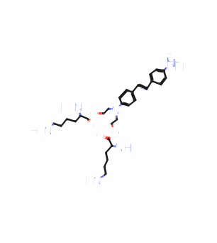 CCN(CC)c1ccc(/C=C/c2ccc(N(CCOC(=O)C(N)CCCCN)CCOC(=O)C(N)CCCCN)cc2)cc1